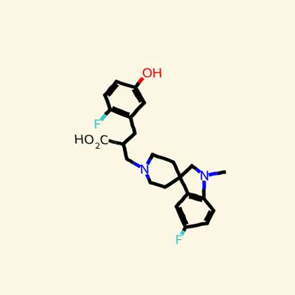 CN1CC2(CCN(CC(Cc3cc(O)ccc3F)C(=O)O)CC2)c2cc(F)ccc21